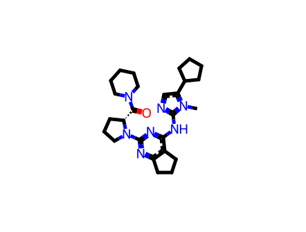 Cn1c(C2CCCC2)cnc1Nc1nc(N2CCC[C@@H]2C(=O)N2CCCCC2)nc2c1CCC2